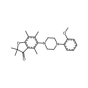 COc1ccccc1N1CCN(c2c(C)c(C)c3c(c2C)C(=O)C(C)(C)O3)CC1